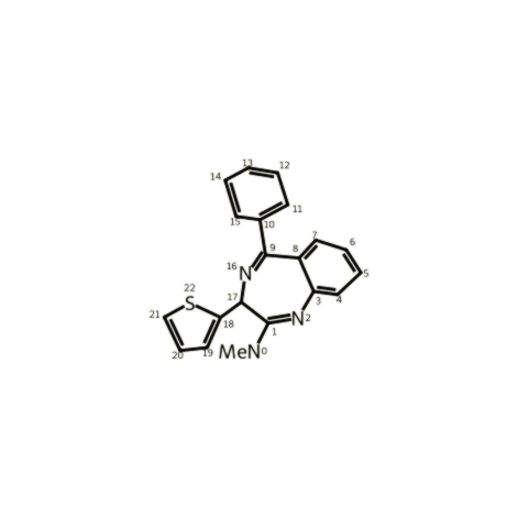 CNC1=Nc2ccccc2C(c2ccccc2)=NC1c1cccs1